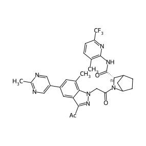 CC(=O)c1nn(CC(=O)N2C3CCC(C3)[C@H]2C(=O)Nc2nc(C(F)(F)F)ccc2C)c2c(C)cc(-c3cnc(C)nc3)cc12